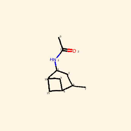 CC(=O)NC1CC(C)C2CC1C2